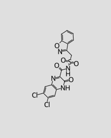 O=C(NS(=O)(=O)Cc1noc2ccccc12)c1nc2cc(Cl)c(Cl)cc2[nH]c1=O